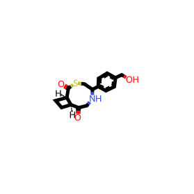 O=C1CNC(c2ccc(CO)cc2)CSC(=O)[C@@H]2CC[C@H]12